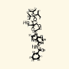 CC(C)[Si](OC[C@@]1(CO)COC[C@H](n2cnc3c(NC(=O)c4ccccc4)ncnc32)O1)(C(C)C)C(C)C